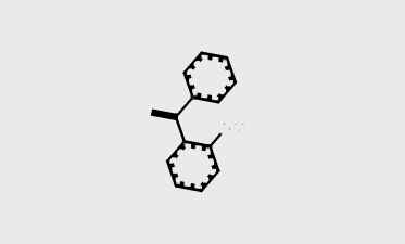 C=C(c1ccccc1)c1ccccc1NC